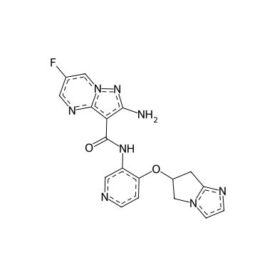 Nc1nn2cc(F)cnc2c1C(=O)Nc1cnccc1OC1Cc2nccn2C1